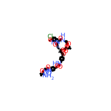 COc1ccc(C[C@H]2NC(=O)/C=C/C[C@@H]([C@H](C)[C@H]3O[C@@H]3c3ccc(CNC(=O)OCc4ccc(NC(=O)C(C)NC(=O)C(N)C(C)C)cc4)cc3)OC(=O)[C@H](CC(C)C)OC(=O)C(C)(C)CNC2=O)cc1Cl